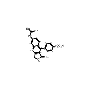 CCC(=O)Nc1ccc2c(-c3ccc(C(=O)O)cc3)c3c(nc2c1)COC3=O